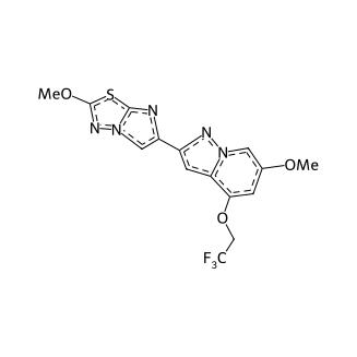 COc1cc(OCC(F)(F)F)c2cc(-c3cn4nc(OC)sc4n3)nn2c1